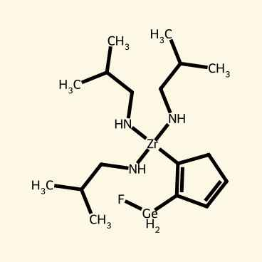 CC(C)C[NH][Zr]([NH]CC(C)C)([NH]CC(C)C)[C]1=[C]([GeH2][F])C=CC1